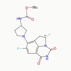 C[C@H]1Cc2c(N3CCC(NC(=O)OC(C)(C)C)C3)c(F)cc3c(=O)[nH]c(=O)n1c23